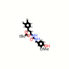 COc1cc(CNC(=O)NC(CCc2ccc(C)c(C)c2)OC(=O)C(C)(C)C)ccc1O